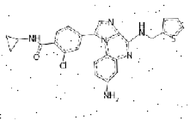 Nc1ccc2c(c1)nc(NCc1cccs1)c1ncc(-c3ccc(C(=O)NC4CC4)c(Cl)c3)n12